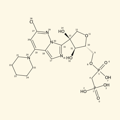 O=P(O)(O)CP(=O)(O)OC[C@H]1OC[C@@](O)(c2ncc3c(N4CCCCC4)cc(Cl)nn23)[C@@H]1O